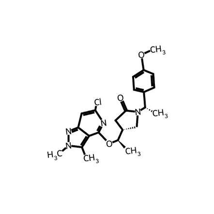 COc1ccc([C@H](C)N2C[C@H]([C@@H](C)Oc3nc(Cl)cc4nn(C)c(C)c34)CC2=O)cc1